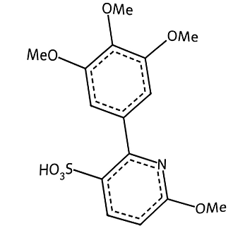 COc1ccc(S(=O)(=O)O)c(-c2cc(OC)c(OC)c(OC)c2)n1